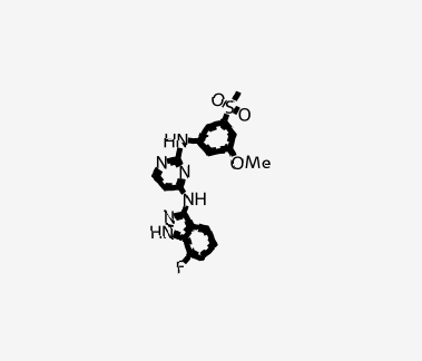 COc1cc(Nc2nccc(Nc3n[nH]c4c(F)cccc34)n2)cc(S(C)(=O)=O)c1